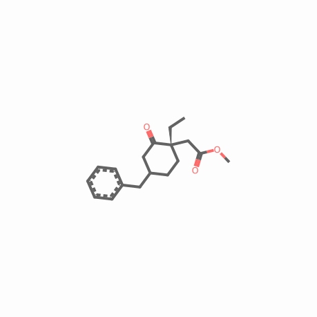 CC[C@@]1(CC(=O)OC)CCC(Cc2ccccc2)CC1=O